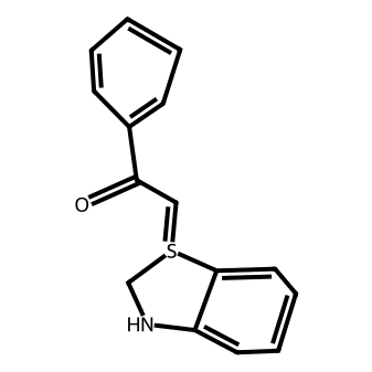 O=C(C=S1CNc2ccccc21)c1ccccc1